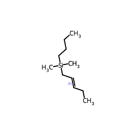 CC/C=C/C[Si](C)(C)CCCC